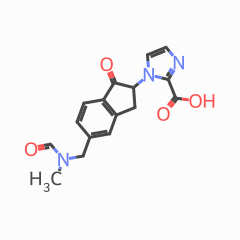 CN(C=O)Cc1ccc2c(c1)CC(n1ccnc1C(=O)O)C2=O